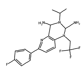 CC(C)N1C(N)c2nc(-c3ccc(F)cc3)ccc2N(CC(F)(F)F)C1N